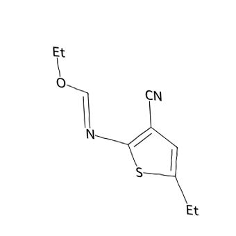 CCOC=Nc1sc(CC)cc1C#N